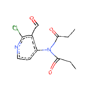 CCC(=O)N(C(=O)CC)c1ccnc(Cl)c1C=O